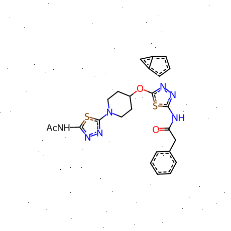 CC(=O)Nc1nnc(N2CCC(Oc3nnc(NC(=O)Cc4ccccc4)s3)CC2)s1.c1cc2cc-2c1